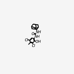 Cc1c(Cl)cc(NC(=O)NC2C3CC4CC(C3)CC2C4)c(O)c1Cl